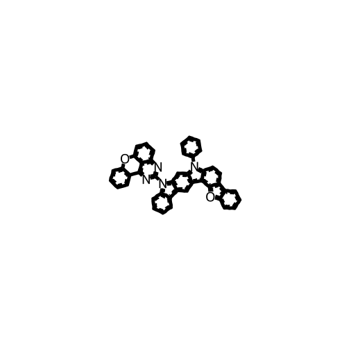 c1ccc(-n2c3cc4c(cc3c3c5oc6ccccc6c5ccc32)c2ccccc2n4-c2nc3c4c(cccc4n2)Oc2ccccc2-3)cc1